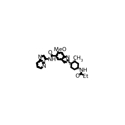 CCC(=O)N[C@@H]1CC[C@@H](n2cc3cc(C(=O)Nc4cnc5cccnn45)c(OC)cc3n2)[C@H](C)C1